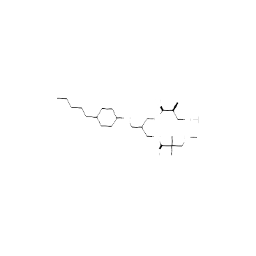 C=C(CO)C(=O)OCC(COC(=O)C(C)(C)COC)COC1CCC(CCCCC)CC1